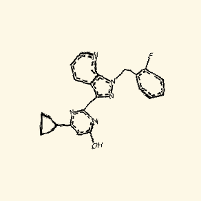 Oc1[c]c(C2CC2)nc(-c2nn(Cc3ccccc3F)c3ncccc23)n1